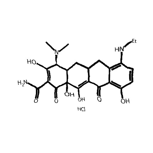 CCNc1ccc(O)c2c1CC1CC3[C@H](N(C)C)C(O)=C(C(N)=O)C(=O)C3(O)C(O)=C1C2=O.Cl